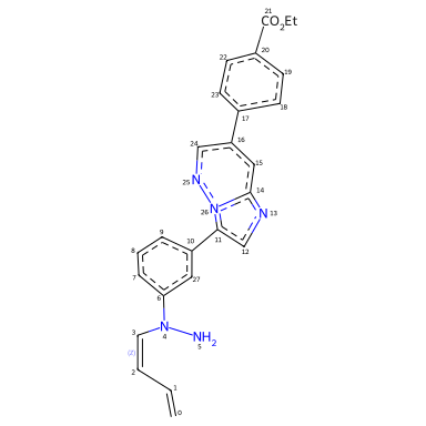 C=C/C=C\N(N)c1cccc(-c2cnc3cc(-c4ccc(C(=O)OCC)cc4)cnn23)c1